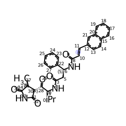 CC(C)[C@H](NC(=O)C[C@H](NC(=O)/C=C/c1ccc2ccccc2c1)c1ccccc1)C(=O)[C@@H]1C(=O)NC(=O)[C@H]1C